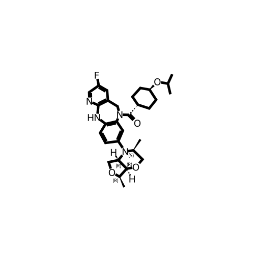 CC(C)O[C@H]1CC[C@H](C(=O)N2Cc3cc(F)cnc3Nc3ccc(N4[C@@H]5CO[C@H](C)[C@@H]5OC[C@@H]4C)cc32)CC1